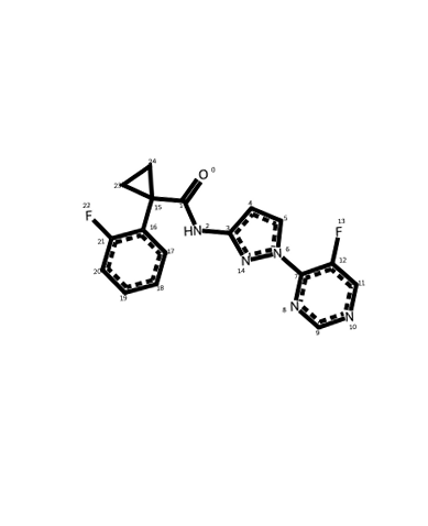 O=C(Nc1ccn(-c2ncncc2F)n1)C1(c2ccccc2F)CC1